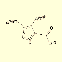 CCCCCc1c[nH]c(C(=O)C=O)c1CCCCC